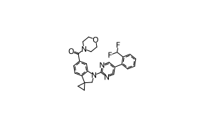 O=C(c1ccc2c(c1)N(c1ncc(-c3ccccc3C(F)F)cn1)CC21CC1)N1CCOCC1